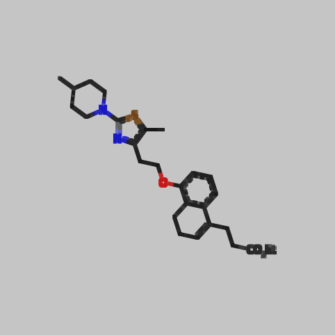 CCOC(=O)CCC1=CCCc2c(OCCc3nc(N4CCC(C)CC4)sc3C)cccc21